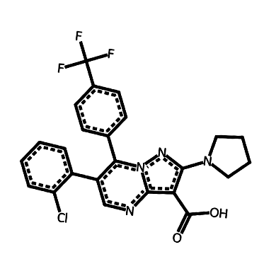 O=C(O)c1c(N2CCCC2)nn2c(-c3ccc(C(F)(F)F)cc3)c(-c3ccccc3Cl)cnc12